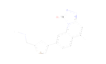 Cc1cc2n[nH]c(=O)n2c2cc(-c3csc(CNC(C)C)c3)ccc12